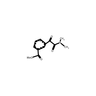 COC(=O)c1cccc(C(=O)C(=O)N(C)C)c1